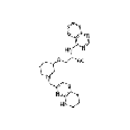 CC(=O)[C@@H](CO[C@@H]1CCCN(Cc2ccc3c(n2)NCCC3)C1)Nc1ncnc2ccccc12